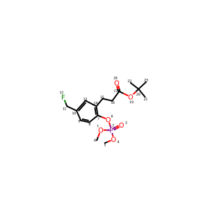 COP(=O)(OC)Oc1ccc(CF)cc1CCC(=O)OC(C)(C)C